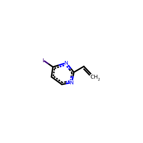 C=Cc1nccc(I)n1